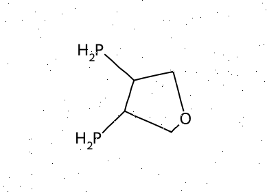 PC1COCC1P